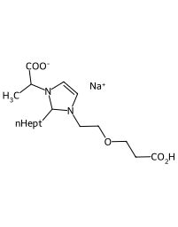 CCCCCCCC1N(CCOCCC(=O)O)C=CN1C(C)C(=O)[O-].[Na+]